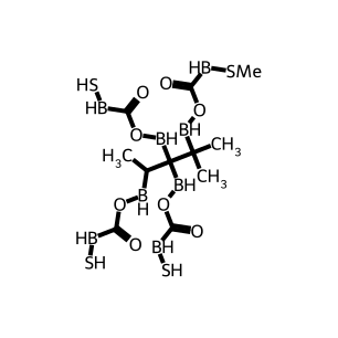 CSBC(=O)OBC(C)(C)C(BOC(=O)BS)(BOC(=O)BS)C(C)BOC(=O)BS